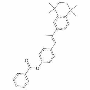 C/C(=C\c1ccc(OC(=O)c2ccccc2)cc1)c1ccc2c(c1)C(C)(C)CCC2(C)C